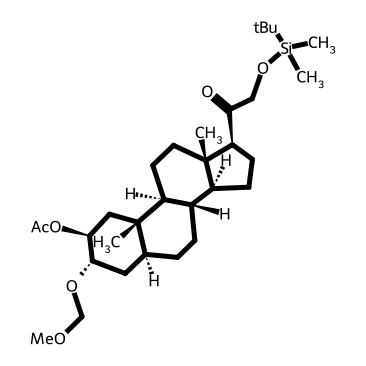 COCO[C@H]1C[C@@H]2CC[C@@H]3[C@H](CC[C@]4(C)[C@@H](C(=O)CO[Si](C)(C)C(C)(C)C)CC[C@@H]34)[C@@]2(C)C[C@@H]1OC(C)=O